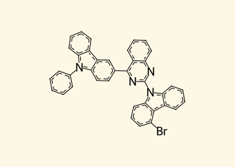 Brc1cccc2c1c1ccccc1n2-c1nc(-c2ccc3c(c2)c2ccccc2n3-c2ccccc2)c2ccccc2n1